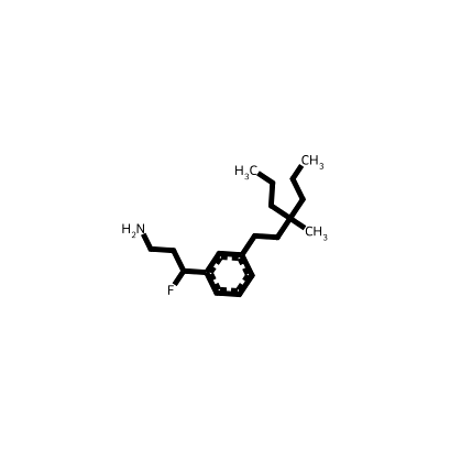 CCCC(C)(CCC)CCc1cccc(C(F)CCN)c1